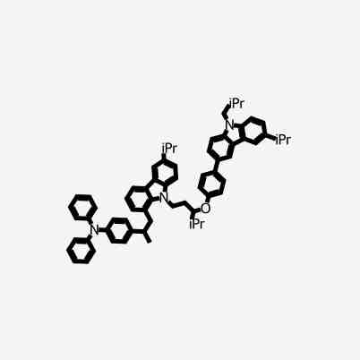 CC(C)Cn1c2ccc(-c3ccc(OC(CCn4c5ccc(C(C)C)cc5c5cccc(CC(C)c6ccc(N(c7ccccc7)c7ccccc7)cc6)c54)C(C)C)cc3)cc2c2cc(C(C)C)ccc21